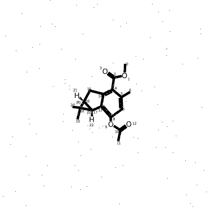 COC(=O)c1c(C)cc(OC(C)=O)c2c1C[C@@H]1[C@H]2C1(C)C